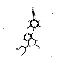 CCC(CO)Nc1ccnc(Oc2c(C)cc(C#N)cc2C)c1COC